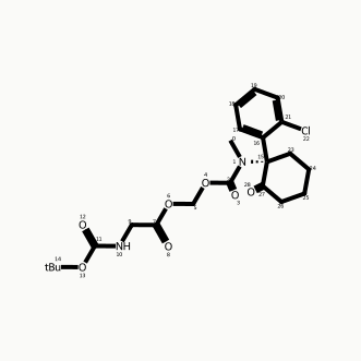 CN(C(=O)OCOC(=O)CNC(=O)OC(C)(C)C)[C@]1(c2ccccc2Cl)CCCCC1=O